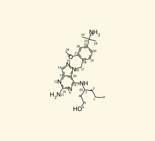 CCC[C@@H](CCO)Nc1nc(N)nc2cnn(Cc3ccc(C(C)(C)N)cc3OC)c12